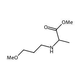 COCCCNC(C)C(=O)OC